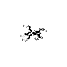 CCC[CH2][Sn]([CH2]CCC)([CH2]CCC)[c]1cn2c(C(C)=O)nc(SC)c2s1